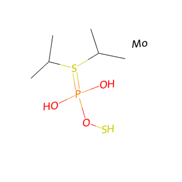 CC(C)S(C(C)C)=P(O)(O)OS.[Mo]